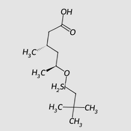 C[C@H](CC(=O)O)C[C@H](C)O[SiH2]CC(C)(C)C